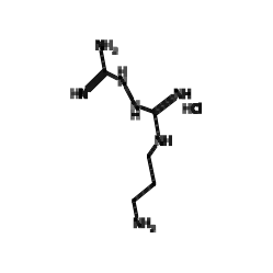 Cl.N=C(N)NNC(=N)NCCCN